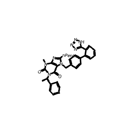 CCCCCc1nc2c(c(=O)n(C(C)c3ccccc3)c(=O)n2C)n1Cc1ccc(-c2ccccc2-c2nnn[nH]2)cc1